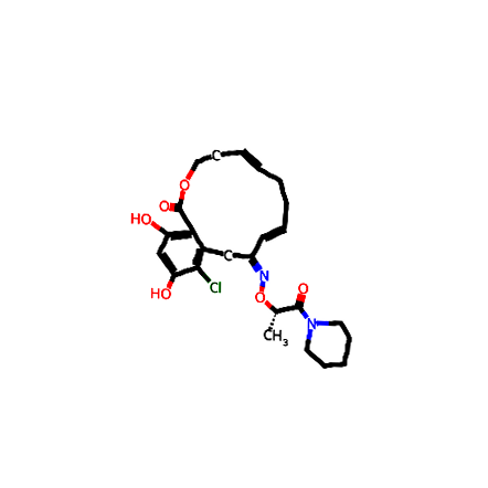 C[C@H](O/N=C1/C=C/CC/C=C/CCOC(=O)c2c(O)cc(O)c(Cl)c2C1)C(=O)N1CCCCC1